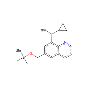 CC(C)(C)C(c1cc(CO[Si](C)(C)C(C)(C)C)cc2cccnc12)C1CC1